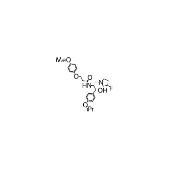 COc1ccc(OCCC(=O)N[C@H](CN2CC[C@@H](F)C2)[C@H](O)c2ccc(OC(C)C)cc2)cc1